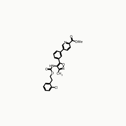 COC(=O)c1ccc(-c2cccc(-c3onc(C)c3NC(=O)OCCc3ccccc3Cl)c2)cn1